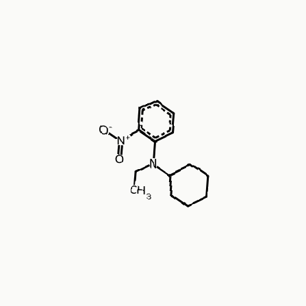 CCN(c1ccccc1[N+](=O)[O-])C1CCCCC1